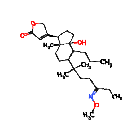 CCCC1C(C(C)(C)CCC(CC)=NOC)CC[C@]2(C)[C@@H](C3=CC(=O)OC3)CC[C@]12O